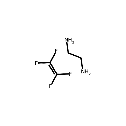 FC(F)=C(F)F.NCCN